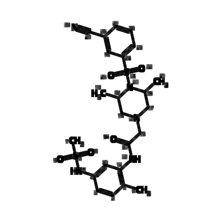 Cc1ccc(NS(C)(=O)=O)cc1NC(=O)CN1CC(C)N(S(=O)(=O)c2cccc(C#N)c2)C(C)C1